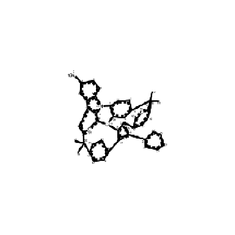 CC(C)(C)c1ccc2c(c1)c1cc3cc4c1n2-c1ccc2cc1B4c1c(cc(-c4ccccc4)cc1-c1ccc(cc1)C3(C)C)-c1ccc(cc1)C2(C)C